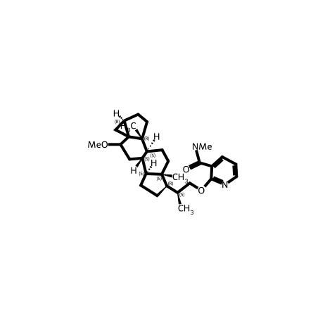 CNC(=O)c1cccnc1OC[C@@H](C)[C@H]1CC[C@H]2[C@@H]3CC(OC)C45C[C@H]4CC[C@]5(C)[C@H]3CC[C@]12C